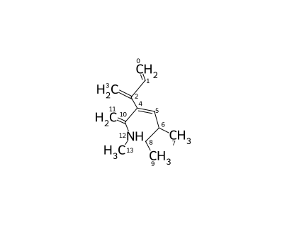 C=CC(=C)/C(=C/C(C)CC)C(=C)NC